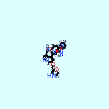 C=N/C(=C\C=C(/C)c1cc(OC[C@@H]2CNCCO2)cn2ncc(C#N)c12)N1CC2CC(C1)N2Cc1ccc(OC)nc1